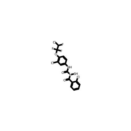 O=C(Nc1ccc(OC(F)(F)C(F)Cl)c(Cl)c1)N(S)C(=O)c1ccccc1Cl